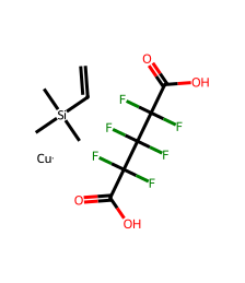 C=C[Si](C)(C)C.O=C(O)C(F)(F)C(F)(F)C(F)(F)C(=O)O.[Cu]